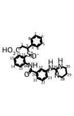 O=C(O)CC(c1ccccc1)[S+]([O-])c1ccccc1NC(=O)c1cccc(NC2=NCCCN2)c1